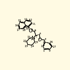 c1ccc(COCC(COc2cccc3ccccc23)N2CCCCC2)cc1